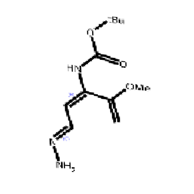 C=C(OC)/C(=C\C=N\N)NC(=O)OC(C)(C)C